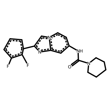 O=C(Nc1ccn2cc(-c3cccc(F)c3F)nc2c1)N1CCCCC1